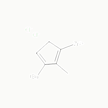 CC1=[C]([Zr+2])CC=C1C(C)(C)C.[Cl-].[Cl-]